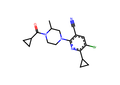 CC1CN(c2nc(C3CC3)c(Br)cc2C#N)CCN1C(=O)C1CC1